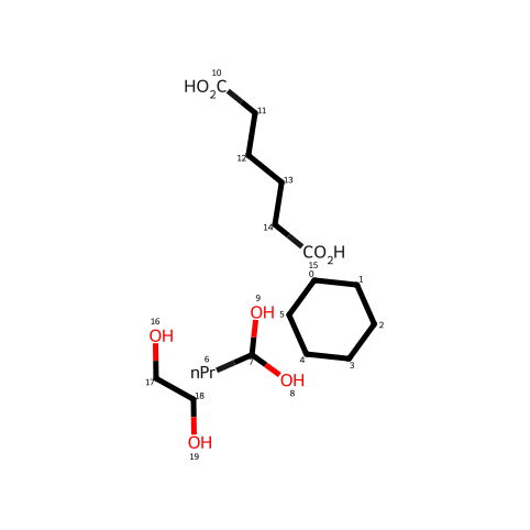 C1CCCCC1.CCCC(O)O.O=C(O)CCCCC(=O)O.OCCO